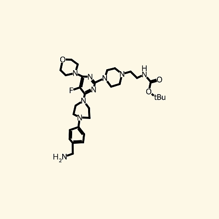 CC(C)(C)OC(=O)NCCN1CCN(c2nc(N3CCOCC3)c(F)c(N3CCN(c4ccc(CN)cc4)CC3)n2)CC1